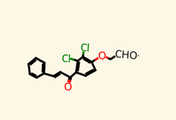 O=[C]COc1ccc(C(=O)C=Cc2ccccc2)c(Cl)c1Cl